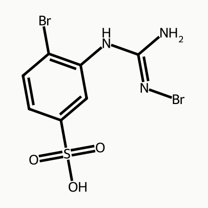 NC(=NBr)Nc1cc(S(=O)(=O)O)ccc1Br